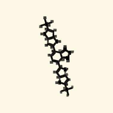 CS(C)(C)c1cc2sc(-c3ccc(-c4cc5sc(S(C)(C)C)cc5s4)c4nsnc34)cc2s1